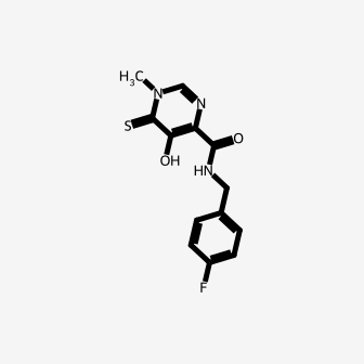 Cn1cnc(C(=O)NCc2ccc(F)cc2)c(O)c1=S